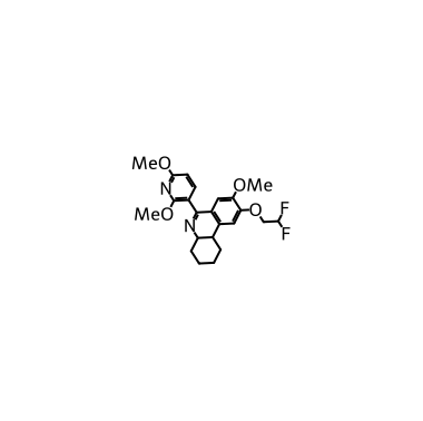 COc1ccc(C2=NC3CCCCC3c3cc(OCC(F)F)c(OC)cc32)c(OC)n1